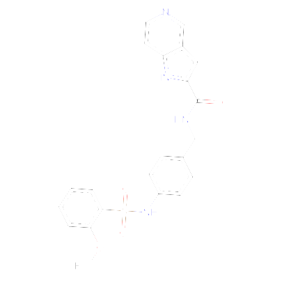 O=C(NCc1ccc(NS(=O)(=O)c2ccccc2OC(F)(F)F)cc1)c1cc2cnccc2[nH]1